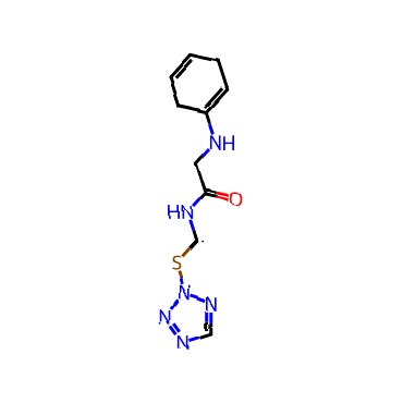 O=C(CNC1=CCC=CC1)N[CH]Sn1ncnn1